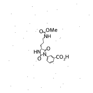 COC(=O)NCCC[C@@H]1NC(=O)N(c2cccc(C(=O)O)c2)C1=O